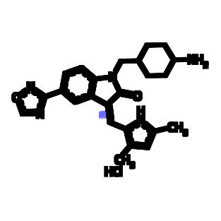 Cc1cc(C)c(/C=C2\C(=O)N(CC3CCC(N)CC3)c3ccc(-c4ncon4)cc32)[nH]1.Cl